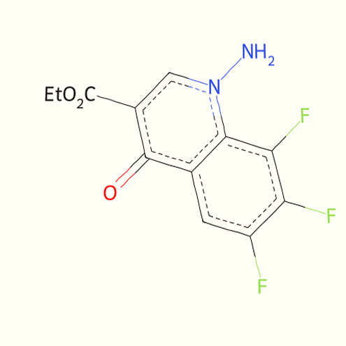 CCOC(=O)c1cn(N)c2c(F)c(F)c(F)cc2c1=O